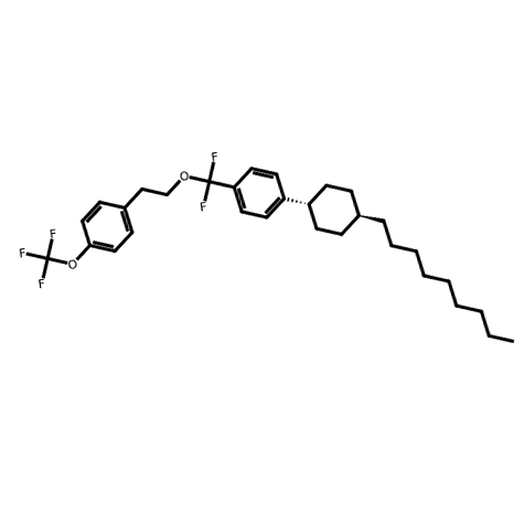 CCCCCCCCC[C@H]1CC[C@H](c2ccc(C(F)(F)OCCc3ccc(OC(F)(F)F)cc3)cc2)CC1